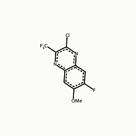 COc1cc2nc(C(F)(F)F)c(Cl)nc2cc1F